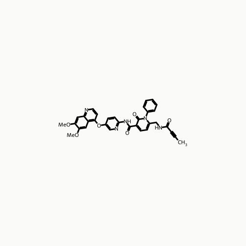 CC#CC(=O)NCc1ccc(C(=O)Nc2ccc(Oc3ccnc4cc(OC)c(OC)cc34)cn2)c(=O)n1-c1ccccc1